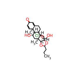 CCCC1O[C@@H]2C[C@H]3[C@@H]4CCC5=CC(=O)C=C[C@]5(C)[C@@]4(Cl)[C@@H](O)C[C@]3(C)[C@]2(C(=O)CO)O1